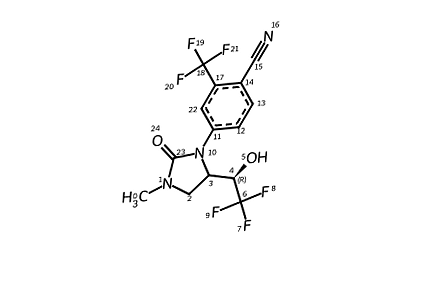 CN1CC([C@@H](O)C(F)(F)F)N(c2ccc(C#N)c(C(F)(F)F)c2)C1=O